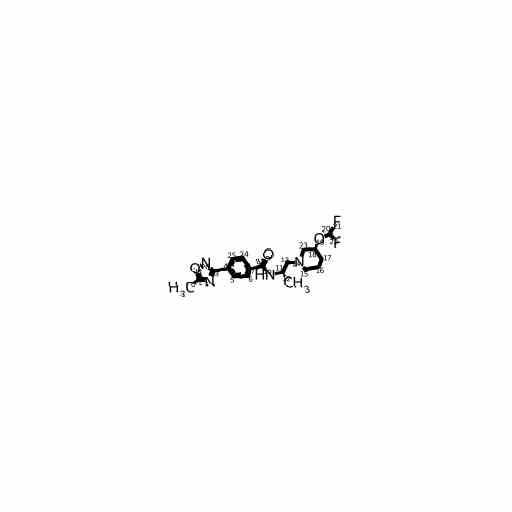 Cc1nc(-c2ccc(C(=O)N[C@H](C)CN3CCC[C@H](OC(F)F)C3)cc2)no1